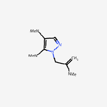 C=C(Cn1ncc(NC)c1NC)NC